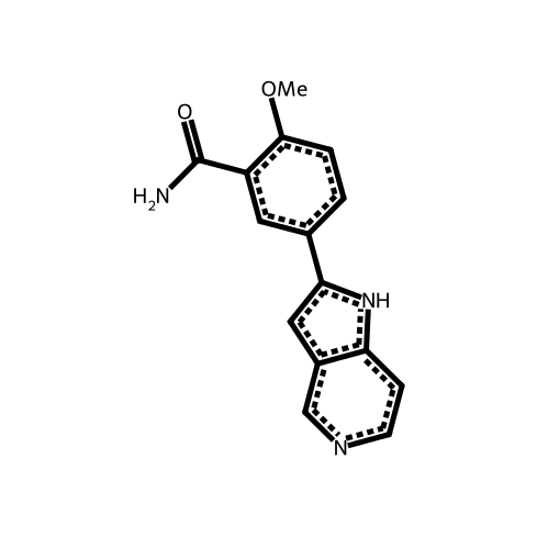 COc1ccc(-c2cc3cnccc3[nH]2)cc1C(N)=O